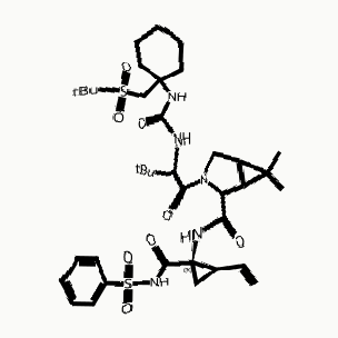 C=CC1C[C@]1(NC(=O)C1C2C(CN1C(=O)C(NC(=O)NC1(CS(=O)(=O)C(C)(C)C)CCCCC1)C(C)(C)C)C2(C)C)C(=O)NS(=O)(=O)c1ccccc1